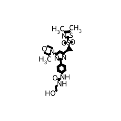 Cc1nc(S(=O)(=O)C2CC2c2cc(N3CCOC[C@@H]3C)nc(-c3ccc(NC(=O)NCCO)cc3)n2)sc1C